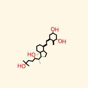 C=C1/C(=C\C=C2CCC[C@@]3(C)C2CC[C@@H]3[C@H](C)[C@H](O)CCC(C)(C)O)C[C@@H](O)C[C@@H]1O